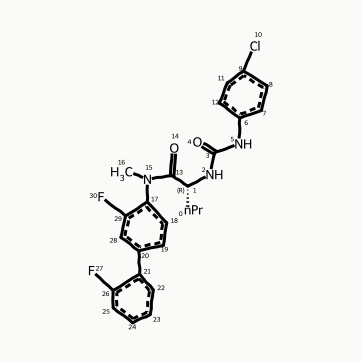 CCC[C@@H](NC(=O)Nc1ccc(Cl)cc1)C(=O)N(C)c1ccc(-c2ccccc2F)cc1F